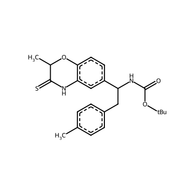 Cc1ccc(CC(NC(=O)OC(C)(C)C)c2ccc3c(c2)NC(=S)C(C)O3)cc1